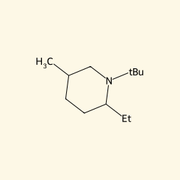 CCC1CCC(C)CN1C(C)(C)C